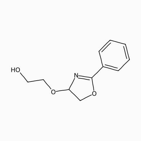 OCCOC1COC(c2ccccc2)=N1